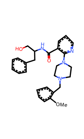 COc1ccccc1CN1CCN(c2ncccc2C(=O)NC(CO)Cc2ccccc2)CC1